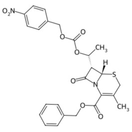 CC1=C(C(=O)OCc2ccccc2)N2C(=O)[C@H](C(C)OC(=O)OCc3ccc([N+](=O)[O-])cc3)[C@@H]2SC1